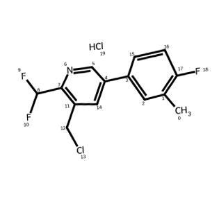 Cc1cc(-c2cnc(C(F)F)c(CCl)c2)ccc1F.Cl